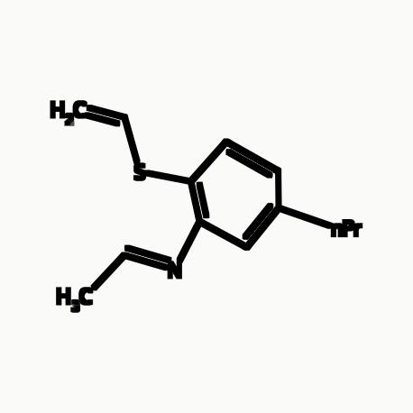 C=CSc1ccc(CCC)cc1/N=C/C